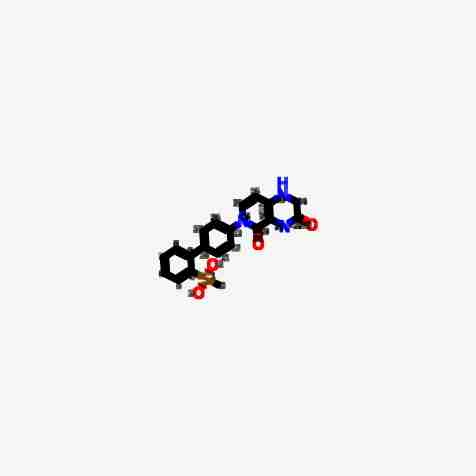 CS(=O)(=O)c1ccccc1-c1ccc(-n2ccc3c(c2=O)[N]C(=O)CN3)cc1